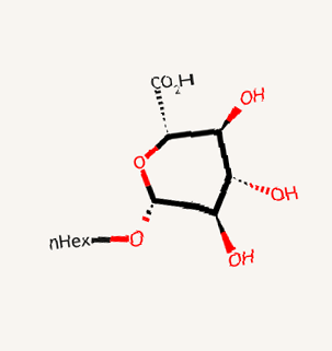 CCCCCCO[C@@H]1O[C@H](C(=O)O)[C@@H](O)[C@H](O)[C@H]1O